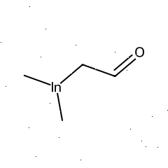 [CH3][In]([CH3])[CH2]C=O